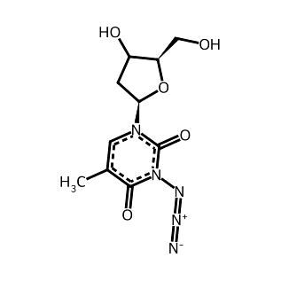 Cc1cn([C@H]2CC(O)[C@@H](CO)O2)c(=O)n(N=[N+]=[N-])c1=O